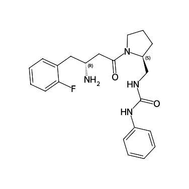 N[C@@H](CC(=O)N1CCC[C@H]1CNC(=O)Nc1ccccc1)Cc1ccccc1F